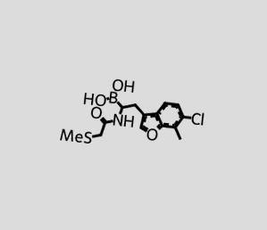 CSCC(=O)NC(Cc1coc2c(C)c(Cl)ccc12)B(O)O